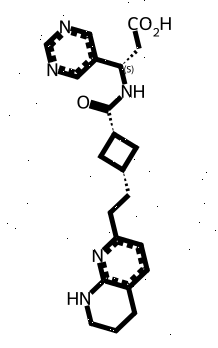 O=C(O)C[C@H](NC(=O)[C@H]1C[C@@H](CCc2ccc3c(n2)NCCC3)C1)c1cncnc1